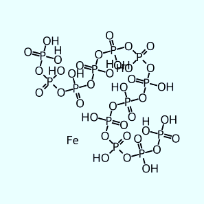 O=P(O)(O)OP(=O)(O)OP(=O)(O)OP(=O)(O)OP(=O)(O)OP(=O)(O)OP(=O)(O)OP(=O)(O)OP(=O)(O)OP(=O)(O)OP(=O)(O)OP(=O)(O)O.[Fe]